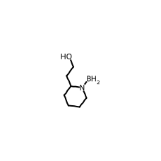 BN1CCCCC1CCO